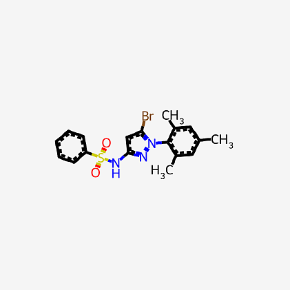 Cc1cc(C)c(-n2nc(NS(=O)(=O)c3ccccc3)cc2Br)c(C)c1